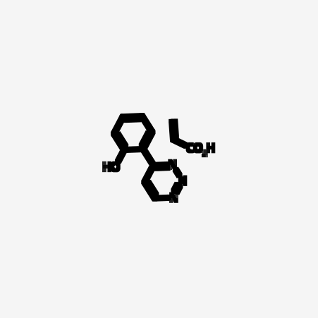 C=CC(=O)O.Oc1ccccc1-c1ccnnn1